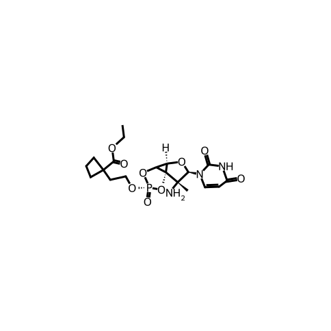 CCOC(=O)C1(CCO[P@]2(=O)OC3[C@H]4O[C@@H](n5ccc(=O)[nH]c5=O)[C@](C)(N)[C@@]34O2)CCC1